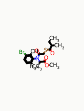 CCC(C)C(=O)SCC(=O)N(c1c(C)ccc(Br)c1C)C(C)C(=O)OC